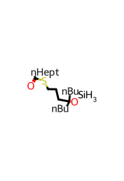 CCCCCCCC(=O)SCCCC(CCCC)(CCCC)O[SiH3]